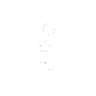 CN(N)C(=S)Nc1nc(N2CCOCC2)n[nH]1